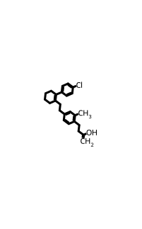 C=C(O)CCc1ccc(CCC2=C(c3ccc(Cl)cc3)CCCC2)cc1C